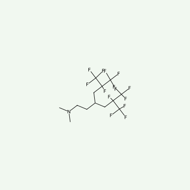 CN(C)CCC(CC(F)(C(F)(F)F)C(F)(F)F)CC(F)(C(F)(F)F)C(F)(F)F